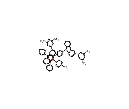 FC(F)(F)c1cc(-c2ccc3c(c2)c2ccccc2n3-c2ccc(-c3nc(-c4ccccc4)nc(-c4ccccc4)n3)c(-c3cc(C(F)(F)F)ccc3-n3c4ccccc4c4cc(-c5cc(C(F)(F)F)cc(C(F)(F)F)c5)ccc43)c2)cc(C(F)(F)F)c1